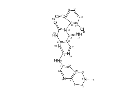 CN1CCc2ncc(Nc3ncc4c(=N)n(-c5c(Cl)cccc5Cl)c(=O)[nH]c4n3)cc2C1